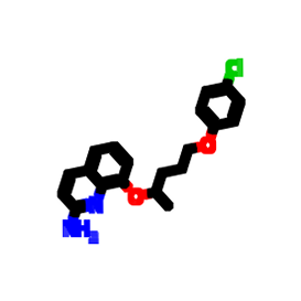 CC(CCCOc1ccc(Cl)cc1)Oc1cccc2ccc(N)nc12